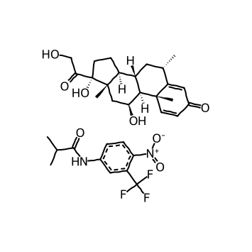 CC(C)C(=O)Nc1ccc([N+](=O)[O-])c(C(F)(F)F)c1.C[C@H]1C[C@@H]2[C@H]([C@@H](O)C[C@@]3(C)[C@H]2CC[C@]3(O)C(=O)CO)[C@@]2(C)C=CC(=O)C=C12